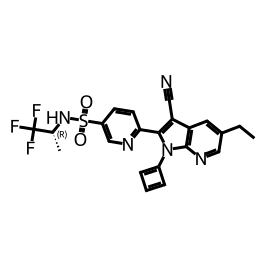 CCc1cnc2c(c1)c(C#N)c(-c1ccc(S(=O)(=O)N[C@H](C)C(F)(F)F)cn1)n2C1=CC=C1